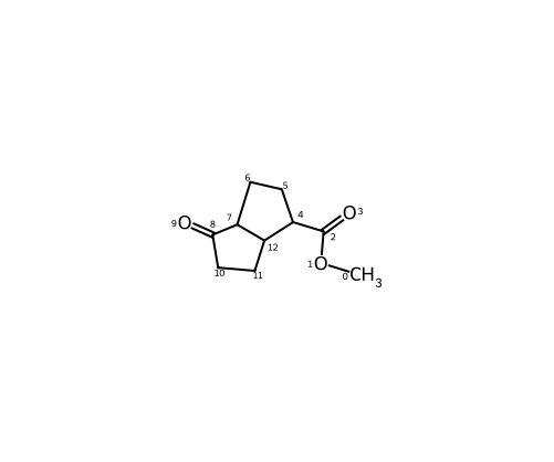 COC(=O)C1CCC2C(=O)CCC21